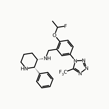 CC(F)Oc1ccc(-n2nnnc2C(F)(F)F)cc1CN[C@H]1CCCN[C@H]1c1ccccc1